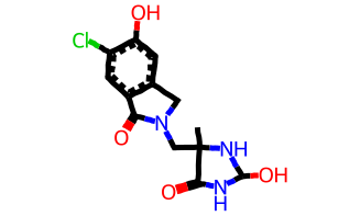 CC1(CN2Cc3cc(O)c(Cl)cc3C2=O)NC(O)NC1=O